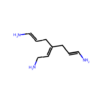 NC=CCC(=CCN)CC=CN